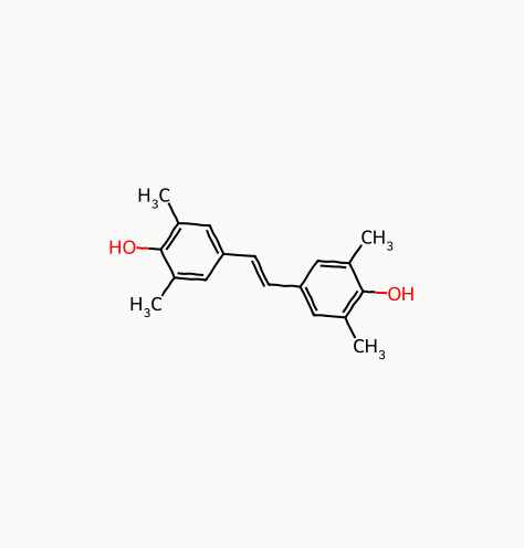 Cc1cc(C=Cc2cc(C)c(O)c(C)c2)cc(C)c1O